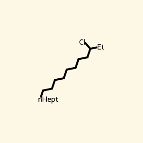 CCCCCCCCCCCCCCCC(Cl)CC